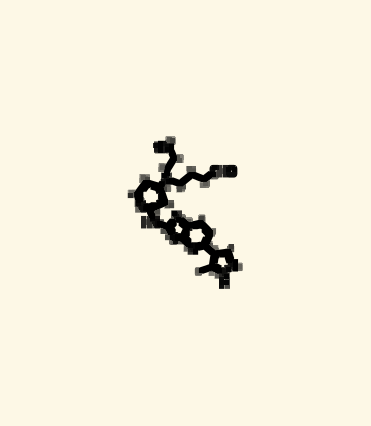 Cc1[nH]ncc1-c1ccc2nc(Nc3cc(N(CCCC=O)CCC(C)(C)C)ccn3)sc2n1